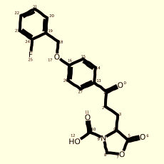 O=C(CCC1C(=O)OCN1C(=O)O)c1ccc(OCc2ccccc2F)cc1